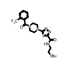 CC(C)(C)CCNC(=O)c1nnc(N2CCN(C(=O)c3ccccc3C(F)(F)F)CC2)s1